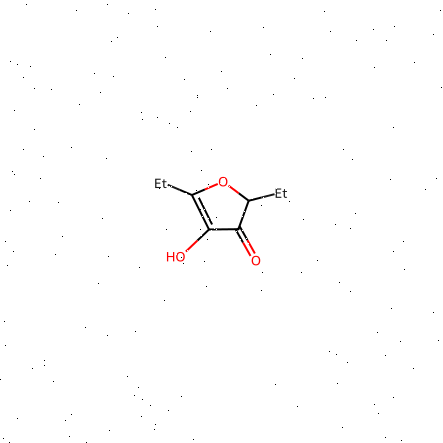 CCC1=C(O)C(=O)C(CC)O1